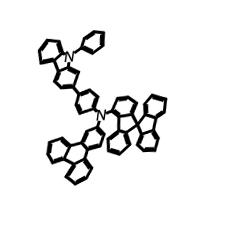 c1ccc(-n2c3ccccc3c3ccc(-c4ccc(N(c5ccc6c7ccccc7c7ccccc7c6c5)c5cccc6c5-c5ccccc5C65c6ccccc6-c6ccccc65)cc4)cc32)cc1